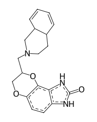 O=c1[nH]c2ccc3c(c2[nH]1)OC(CN1CCC2C=CC=CC2C1)CO3